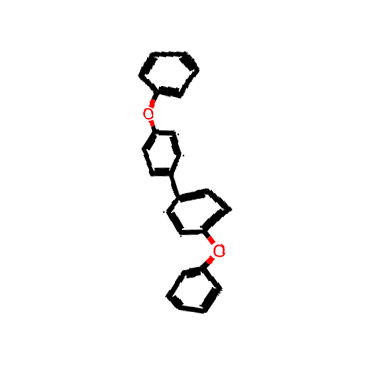 [c]1[c]c(-c2[c][c]c(Oc3ccccc3)cc2)ccc1Oc1ccccc1